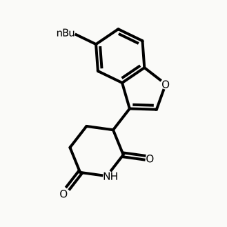 CCCCc1ccc2occ(C3CCC(=O)NC3=O)c2c1